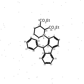 CCOC(=O)C1CCCN(c2cccc3c2C(c2ccccc2)c2ccccc2-3)C1C(=O)OCC